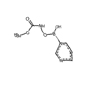 CC(C)(C)OC(=O)NOB(O)c1cccnc1